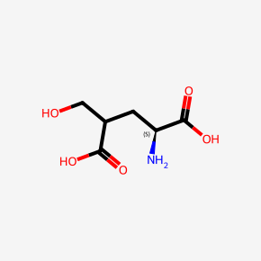 N[C@@H](CC(CO)C(=O)O)C(=O)O